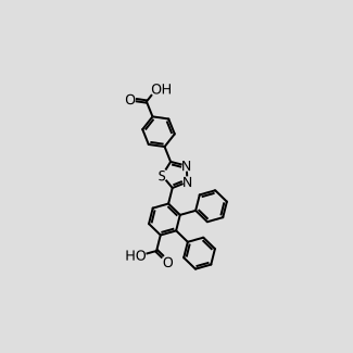 O=C(O)c1ccc(-c2nnc(-c3ccc(C(=O)O)c(-c4ccccc4)c3-c3ccccc3)s2)cc1